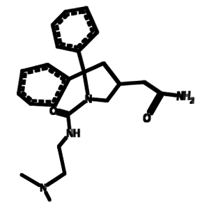 CN(C)CCNC(=O)N1CC(CC(N)=O)CC1(c1ccccc1)c1ccccc1